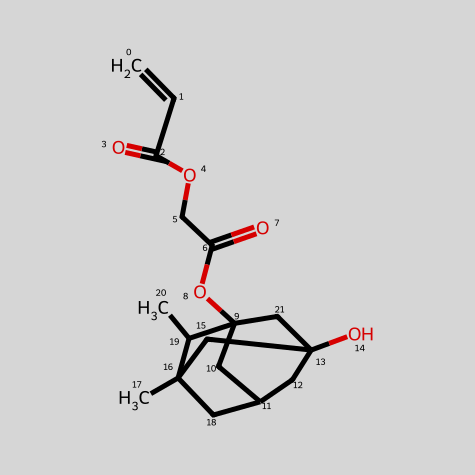 C=CC(=O)OCC(=O)OC12CC3CC(O)(CC(C)(C3)C1C)C2